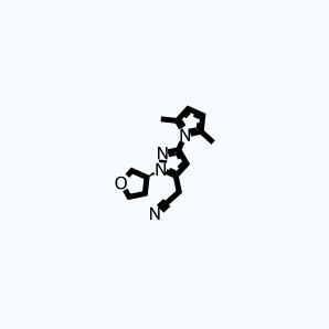 Cc1ccc(C)n1-c1cc(CC#N)n([C@@H]2CCOC2)n1